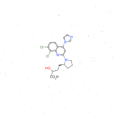 O=C(O)C(O)CC[C@@H]1CCCN1c1cc(-n2ccnc2)c2ccc(Cl)c(Cl)c2n1